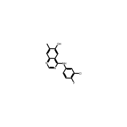 Cc1cc2ncnc(Nc3ccc(F)c(Cl)c3)c2cc1O